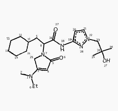 CCN(C)C1=CC(=O)N(C(CC2CCCCC2)C(=O)Nc2ccn(CC(C)(C)O)n2)C1